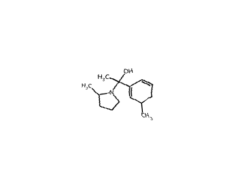 CC1C=C(C(C)(O)N2CCCC2C)C=CC1